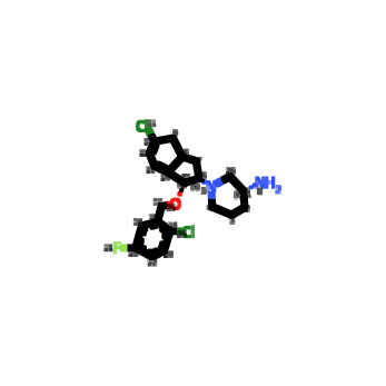 N[C@@H]1CCCN([C@H]2CC3CC(Cl)=CC=C3[C@H]2OCc2cc(F)ccc2Cl)C1